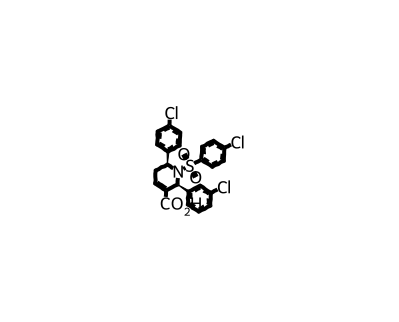 O=C(O)C1=CC[C@@H](c2ccc(Cl)cc2)N(S(=O)(=O)c2ccc(Cl)cc2)[C@H]1c1cccc(Cl)c1